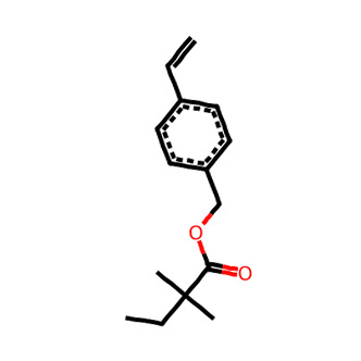 C=Cc1ccc(COC(=O)C(C)(C)CC)cc1